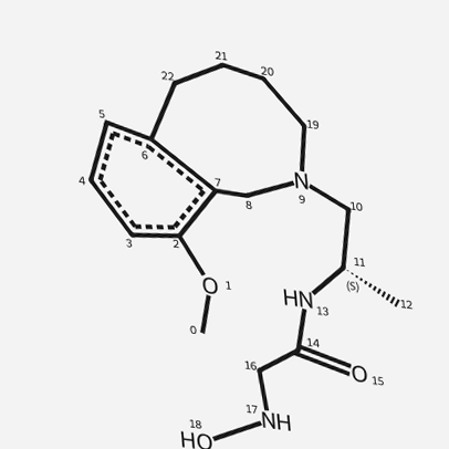 COc1cccc2c1CN(C[C@H](C)NC(=O)CNO)CCCC2